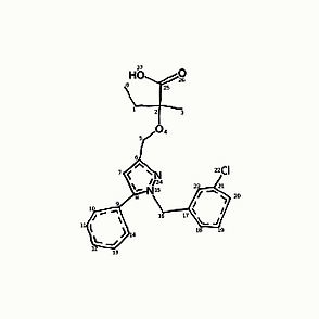 CCC(C)(OCc1cc(-c2ccccc2)n(Cc2cccc(Cl)c2)n1)C(=O)O